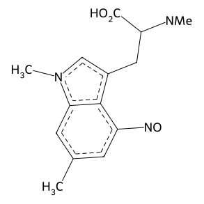 CNC(Cc1cn(C)c2cc(C)cc(N=O)c12)C(=O)O